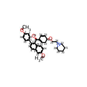 COc1ccc(-c2ccc3cc(OC)ccc3c2C(=O)C2=CCC(OCCN3CCCCC3)C=C2)cc1